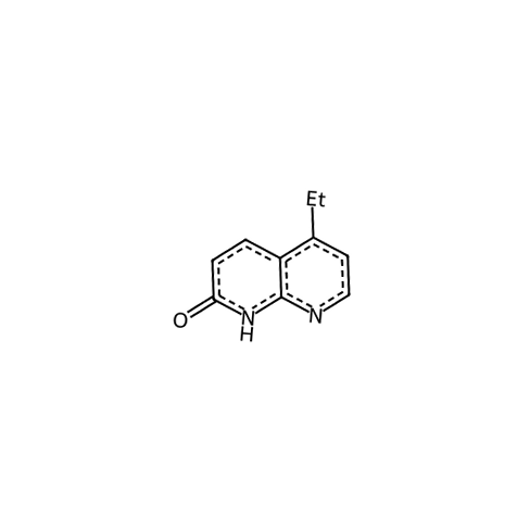 CCc1ccnc2[nH]c(=O)ccc12